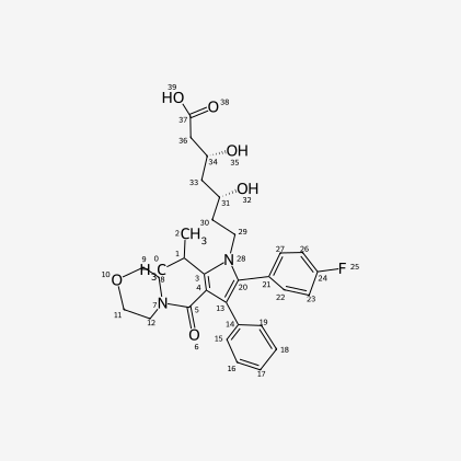 CC(C)c1c(C(=O)N2CCOCC2)c(-c2ccccc2)c(-c2ccc(F)cc2)n1CC[C@@H](O)C[C@@H](O)CC(=O)O